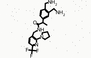 CC(C(=O)NCc1ccc(C(F)(F)F)nc1N1CCCC1)c1ccc(CN)c(CN)c1